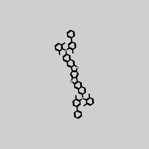 Cc1ccc(-c2ccccc2)cc1N(c1ccc2cc3c(cc2c1)oc1cc2c(cc13)oc1cc3cc(N(c4cc(-c5ccccc5)ccc4C)c4c(C)cccc4C)ccc3cc12)c1c(C)cccc1C